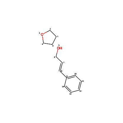 C1CCOC1.OCC=Cc1ccccc1